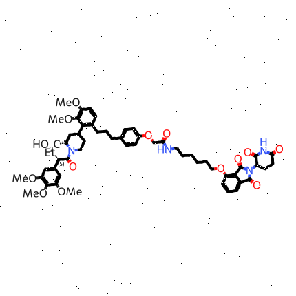 CC[C@H](C(=O)N1CCC(c2c(CCCc3ccc(OCC(=O)NCCCCCCOc4cccc5c4C(=O)N(C4CCC(=O)NC4=O)C5=O)cc3)ccc(OC)c2OC)C[C@H]1C(=O)O)c1cc(OC)c(OC)c(OC)c1